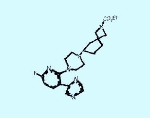 CCOC(=O)N1CC2(CC[C@@H](N3CCN(c4nc(F)ccc4-c4cnccn4)CC3)C2)C1